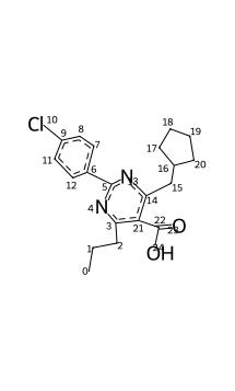 CCCc1nc(-c2ccc(Cl)cc2)nc(CC2CCCC2)c1C(=O)O